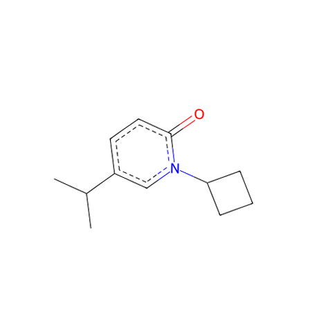 CC(C)c1ccc(=O)n(C2CCC2)c1